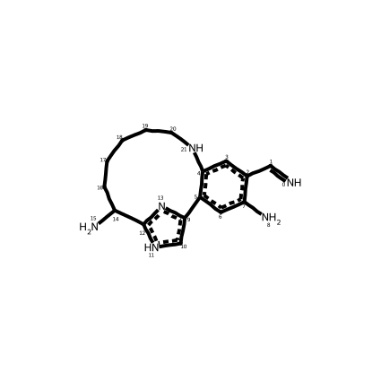 N=Cc1cc2c(cc1N)-c1c[nH]c(n1)C(N)CCCCCN2